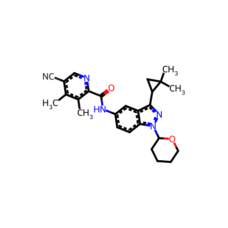 Cc1c(C#N)cnc(C(=O)Nc2ccc3c(c2)c(C2CC2(C)C)nn3C2CCCCO2)c1C